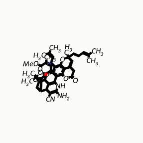 COC(=O)/C(C)=C\CC12OC(C)(C)C3CC(C1=O)C1C(C#N)=C(N)NC4=C1C32Oc1c(CC=C(C)C)c2c3c(c14)OC(=O)CC3=CC(C)(CCC=C(C)C)O2